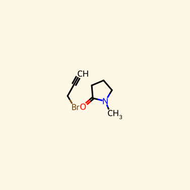 C#CCBr.CN1CCCC1=O